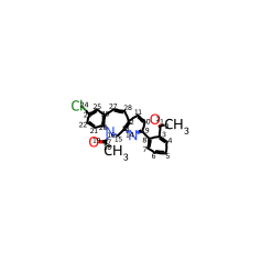 CC(=O)c1ccccc1-c1ccc2c(n1)CN(C(C)=O)c1ccc(Cl)cc1C=C2